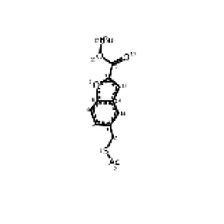 CC(=O)SCc1ccc2oc(C(=O)OC(C)(C)C)cc2c1